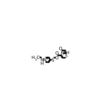 CCN[n+]1ccc(SCOC(=O)C2=CCS[C@H]3CC(=O)N23)cc1